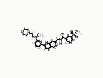 CN(CCN1CCOCC1)c1cccc(-c2ccc3cnc(CNC(=O)c4cncc(S(C)(=O)=O)c4)cc3n2)n1